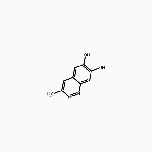 Cc1cc2cc(O)c(O)cc2nn1